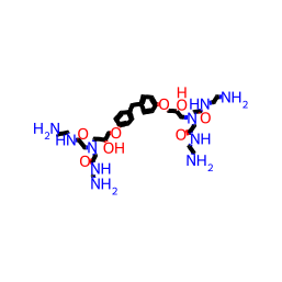 NCCNC(=O)CN(CC(=O)NCN)CC(O)COc1ccc(Cc2ccc(OCC(O)CN(CC(=O)NCCN)CC(=O)NCCN)cc2)cc1